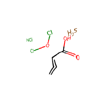 C=CC(=O)O.Cl.ClOCl.S